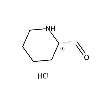 Cl.O=C[C@@H]1CCCCN1